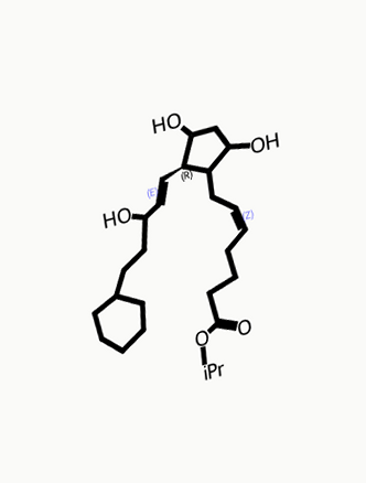 CC(C)OC(=O)CCC/C=C\CC1C(O)CC(O)[C@@H]1/C=C/C(O)CCC1CCCCC1